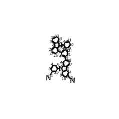 N#Cc1cccc(-n2c3ccc(C#N)cc3c3ccc(-c4cccc(-c5cccc6c7ccccc7n(-c7ccccc7)c56)c4)cc32)c1